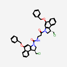 O=C(CCNC(=O)N1C[C@@H](CCl)c2c1cc(OCc1ccccc1)c1ccccc21)N1C[C@@H](CCl)c2c1cc(OCc1ccccc1)c1ccccc21